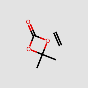 C=C.CC1(C)OC(=O)O1